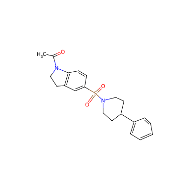 CC(=O)N1CCc2cc(S(=O)(=O)N3CCC(c4ccccc4)CC3)ccc21